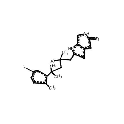 Cc1ccc(F)cc1C(C)(C)CC(O)(Cc1cc2cc(=O)[nH]cc2[nH]1)C(F)(F)F